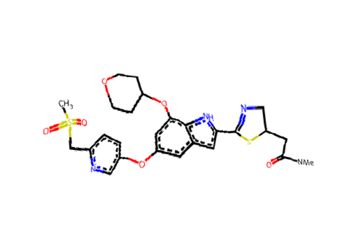 CNC(=O)CC1CN=C(c2cc3cc(Oc4ccc(CS(C)(=O)=O)nc4)cc(OC4CCOCC4)c3[nH]2)S1